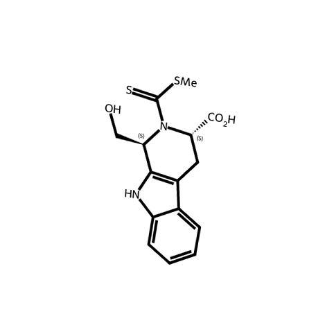 CSC(=S)N1[C@H](CO)c2[nH]c3ccccc3c2C[C@H]1C(=O)O